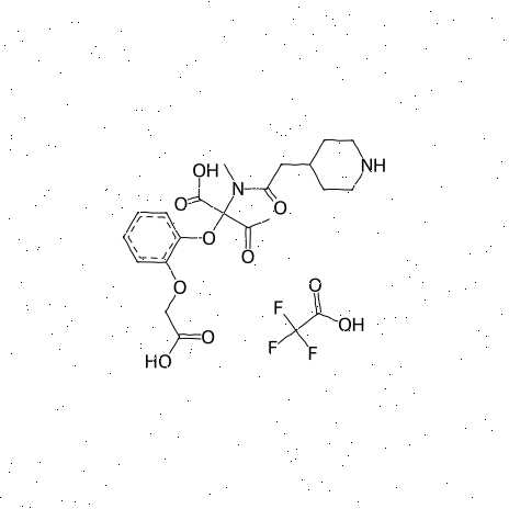 CC(=O)C(Oc1ccccc1OCC(=O)O)(C(=O)O)N(C)C(=O)CC1CCNCC1.O=C(O)C(F)(F)F